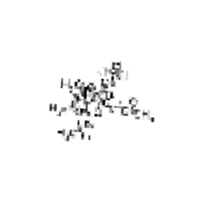 CC(=O)OCCO[C@H]1O[C@H](COC(C)=O)[C@@H](OC(C)=O)[C@H](OC(C)=O)[C@@H]1NC(=O)OCC(Cl)(Cl)Cl